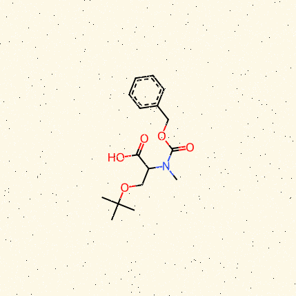 CN(C(=O)OCc1ccccc1)C(COC(C)(C)C)C(=O)O